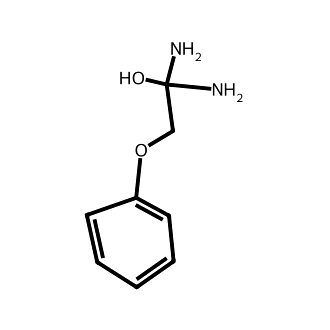 NC(N)(O)COc1ccccc1